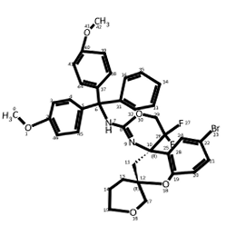 COc1ccc(C(NC2=N[C@@]3(C[C@@]4(CCCOC4)Oc4ccc(Br)cc43)C(F)(F)CO2)(c2ccccc2)c2ccc(OC)cc2)cc1